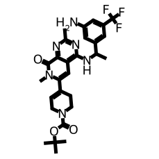 Cc1nc(NC(C)c2cc(N)cc(C(F)(F)F)c2)c2cc(C3=CCN(C(=O)OC(C)(C)C)CC3)n(C)c(=O)c2n1